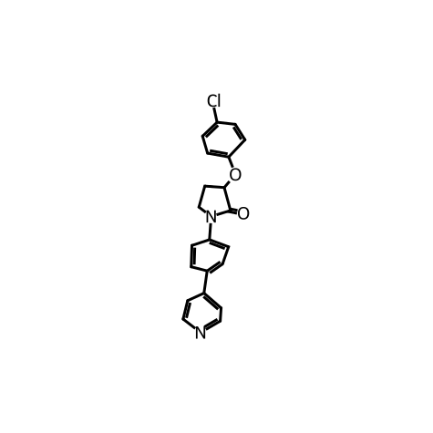 O=C1C(Oc2ccc(Cl)cc2)CCN1c1ccc(-c2ccncc2)cc1